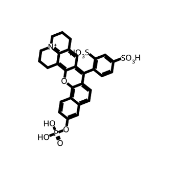 O=P(O)(O)Oc1ccc2c3c(ccc2c1)C(c1ccc(S(=O)(=O)O)cc1S(=O)(=O)O)=c1cc2c4c(c1O3)CCC[N+]=4CCC2